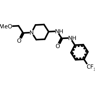 COCC(=O)N1CCC(NC(=O)Nc2ccc(C(F)(F)F)cc2)CC1